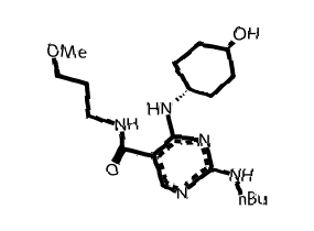 CCCCNc1ncc(C(=O)NCCCOC)c(N[C@H]2CC[C@H](O)CC2)n1